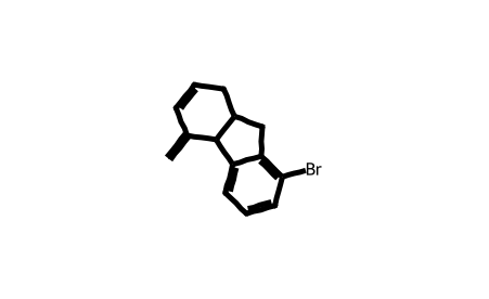 C=C1C=CCC2Cc3c(Br)cccc3C12